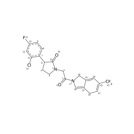 O=C(CN1CCC(c2ccc(F)cc2Cl)C1=O)N1C=C2CC=C(C(F)(F)F)C=C2C1